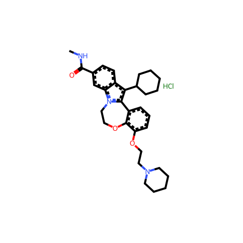 CNC(=O)c1ccc2c(C3CCCCC3)c3n(c2c1)CCOc1c(OCCN2CCCCC2)cccc1-3.Cl